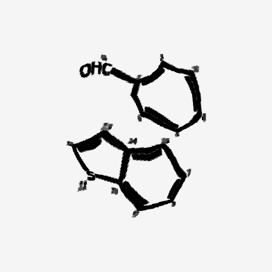 O=Cc1ccccc1.c1ccc2sccc2c1